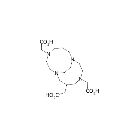 O=C(O)CC1CN2CCN(CCCN(CC(=O)O)CC2)CCN(CC(=O)O)C1